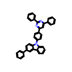 c1ccc(-c2ccc3c(c2)c2ccccc2n3-c2ccc(-c3cc(-c4ccccc4)nc(-c4ccccc4)n3)cc2)cc1